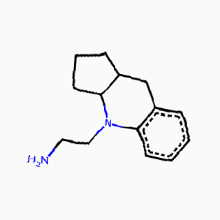 NCCN1c2ccccc2CC2CCCC21